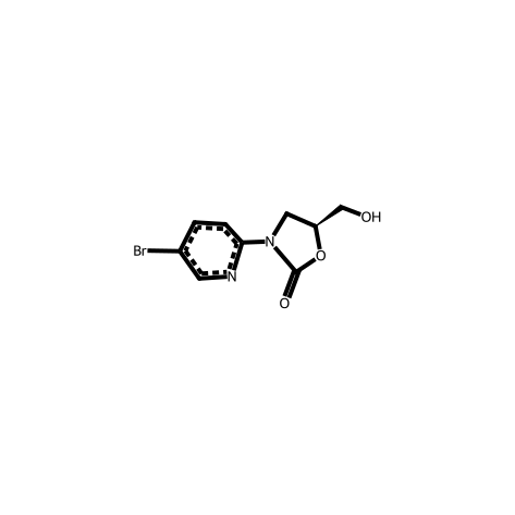 O=C1O[C@H](CO)CN1c1ccc(Br)cn1